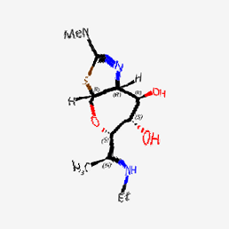 CCN[C@@H](C)[C@@H]1O[C@@H]2SC(NC)=N[C@@H]2[C@@H](O)[C@@H]1O